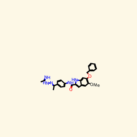 COc1cc2cc(C(=O)Nc3ccc(/C(C)=N/NC(C)=N)cc3)[nH]c2cc1OCc1ccccc1